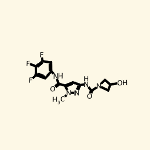 Cn1nc(NC(=O)N2CC(O)C2)cc1C(=O)Nc1cc(F)c(F)c(F)c1